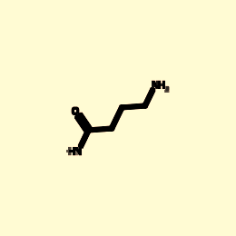 [NH]C(=O)CCCN